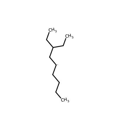 CCCC[CH]CC(CC)CC